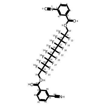 [C-]#[N+]c1cccc(C(=O)OCC(F)(F)C(F)(F)C(F)(F)C(F)(F)C(F)(F)C(F)(F)C(F)(F)C(F)(F)COC(=O)c2cccc(C#N)c2)c1